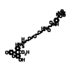 CS(=O)(=O)c1nnc(-c2ccc(NC(=O)CCC(=O)NCCCOCCOCCOCCCNC(=S)Nc3ccc(-c4c5ccc(=O)cc-5oc5cc(O)ccc45)c(C(=O)O)c3)cc2)o1